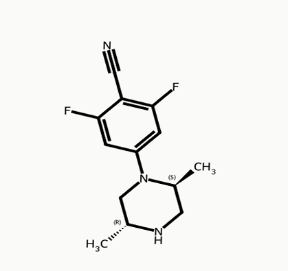 C[C@@H]1CN(c2cc(F)c(C#N)c(F)c2)[C@@H](C)CN1